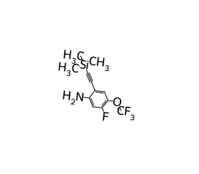 C[Si](C)(C)C#Cc1cc(OC(F)(F)F)c(F)cc1N